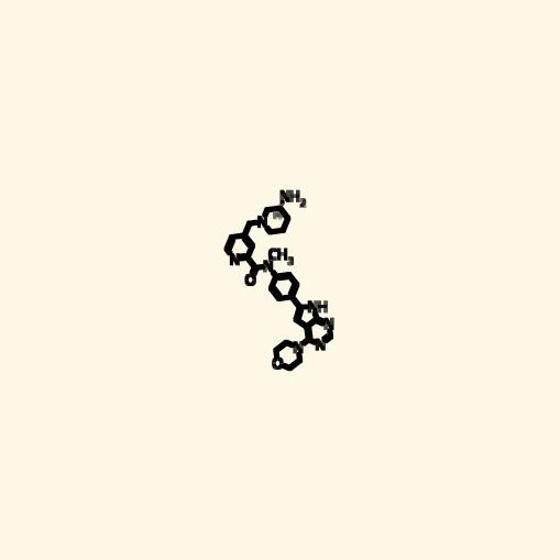 CN(C(=O)c1cc(CN2CCC[C@@H](N)C2)ccn1)c1ccc(-c2cc3c(N4CCOCC4)ncnc3[nH]2)cc1